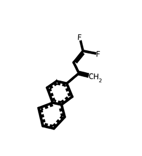 C=C(C=C(F)F)c1[c]cc2ccccc2c1